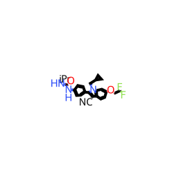 CC(C)NC(=O)Nc1ccc(-c2c(C#N)c3ccc(OCC(F)F)cc3n2CC2CC2)cc1